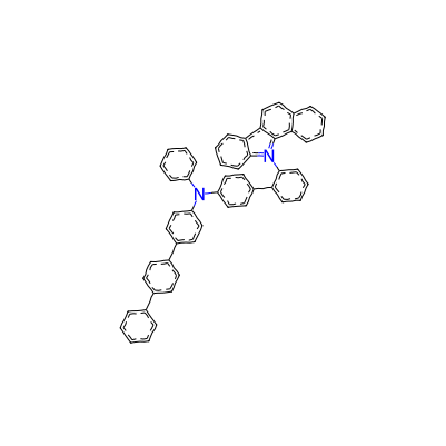 c1ccc(-c2ccc(-c3ccc(N(c4ccccc4)c4ccc(-c5ccccc5-n5c6ccccc6c6ccc7ccccc7c65)cc4)cc3)cc2)cc1